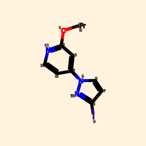 CC(C)Oc1cc(-n2ccc(I)n2)ccn1